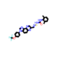 Cc1cccc(C)c1NC(=O)NS/N=C/c1cnc2c(ccc3c2ncn3-c2ccc(OC(F)(F)F)cc2)n1